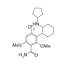 COc1c(C(N)=O)c(SC)cc(C(F)(F)F)c1C1CCCCC1NC1CCCC1